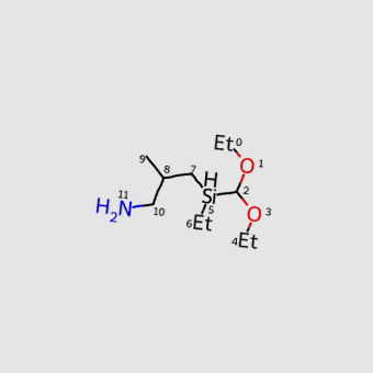 CCOC(OCC)[SiH](CC)CC(C)CN